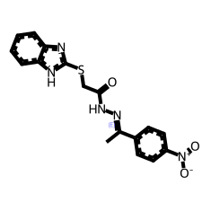 C/C(=N\NC(=O)CSc1nc2ccccc2[nH]1)c1ccc([N+](=O)[O-])cc1